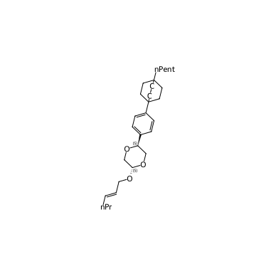 CCCC=CCO[C@@H]1CO[C@@H](c2ccc(C34CCC(CCCCC)(CC3)CC4)cc2)CO1